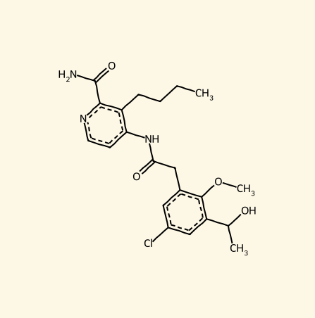 CCCCc1c(NC(=O)Cc2cc(Cl)cc(C(C)O)c2OC)ccnc1C(N)=O